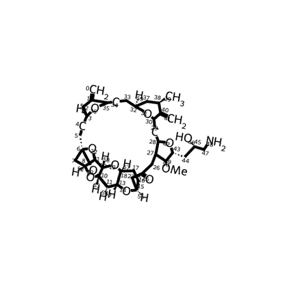 C=C1C[C@@H]2CC[C@@]34C[C@H]5O[C@H]6[C@@H](O3)[C@H]3O[C@H](CC[C@@H]3O[C@H]6C5O4)CC(=O)CC3C(CC4O[C@@H](CCC1O2)C[C@@H](C)C4=C)O[C@H](C[C@H](O)CN)[C@@H]3OC